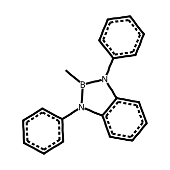 CB1N(c2ccccc2)c2ccccc2N1c1ccccc1